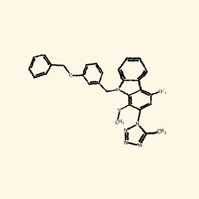 CSc1c(-n2nnnc2C)cc(C)c2c3ccccc3n(Cc3cccc(OCc4ccccc4)c3)c12